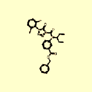 CCC(CC)N(C(=O)n1nnn(-c2c(F)cccc2F)c1=O)c1cccc(C(=O)OCc2ccccc2)c1